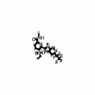 CCS(=O)(=O)c1ccc(C(=O)NC)nc1-c1nc2cc(C(F)(F)C(F)(F)F)nnc2n1C